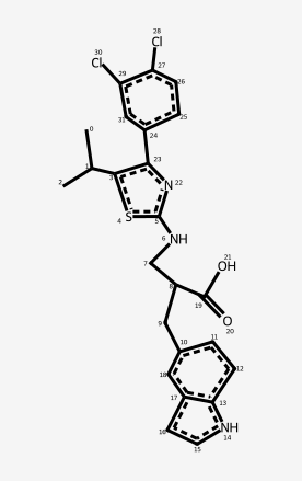 CC(C)c1sc(NCC(Cc2ccc3[nH]ccc3c2)C(=O)O)nc1-c1ccc(Cl)c(Cl)c1